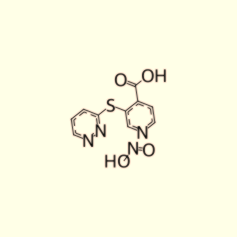 O=C(O)c1ccncc1Sc1cccnn1.O=NO